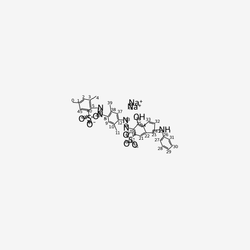 Cc1cc(C)c(N=Nc2cc(C)c(N=Nc3c(S(=O)(=O)[O-])cc4cc(Nc5ccccc5)ccc4c3O)cc2C)c(S(=O)(=O)[O-])c1.[Na+].[Na+]